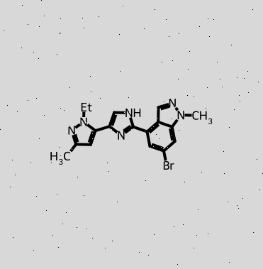 CCn1nc(C)cc1-c1c[nH]c(-c2cc(Br)cc3c2cnn3C)n1